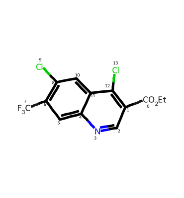 CCOC(=O)c1cnc2cc(C(F)(F)F)c(Cl)cc2c1Cl